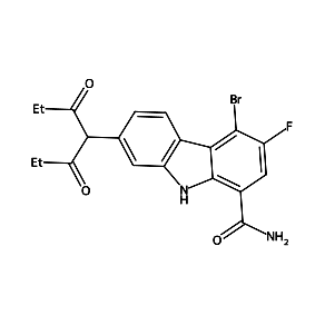 CCC(=O)C(C(=O)CC)c1ccc2c(c1)[nH]c1c(C(N)=O)cc(F)c(Br)c12